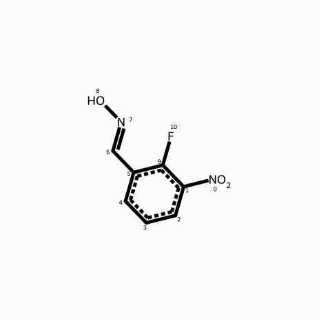 O=[N+]([O-])c1cccc(C=NO)c1F